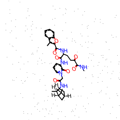 CNC(=O)C(=O)CCC(NC(=O)c1oc2ccccc2c1C)C(=O)Nc1cccn(CC(=O)N[C@@H]2C[C@@H]3C[C@H]([C@H]2C)C3(C)C)c1=O